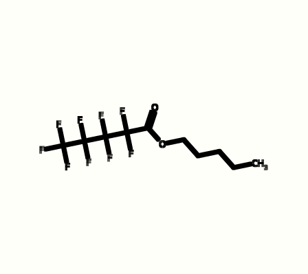 CCCCCOC(=O)C(F)(F)C(F)(F)C(F)(F)C(F)(F)F